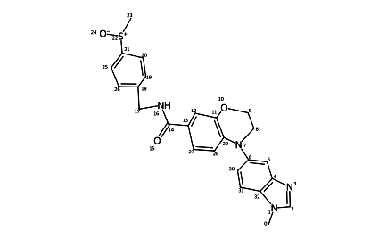 Cn1cnc2cc(N3CCOc4cc(C(=O)NCc5ccc([S+](C)[O-])cc5)ccc43)ccc21